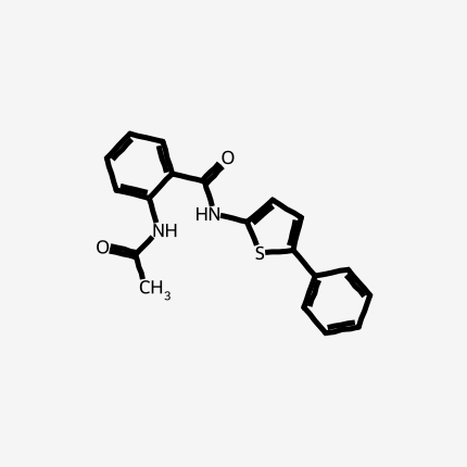 CC(=O)Nc1ccccc1C(=O)Nc1ccc(-c2ccccc2)s1